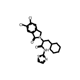 O=C(Nc1nccs1)C(CC1CCCCC1)N1Cc2cc(Cl)c(Cl)cc2C1=O